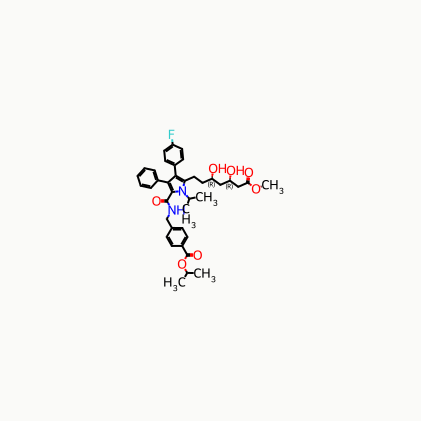 COC(=O)C[C@H](O)C[C@H](O)CCc1c(-c2ccc(F)cc2)c(-c2ccccc2)c(C(=O)NCc2ccc(C(=O)OC(C)C)cc2)n1C(C)C